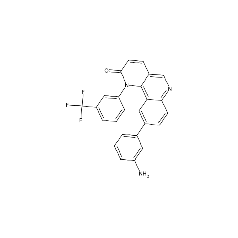 Nc1cccc(-c2ccc3ncc4ccc(=O)n(-c5cccc(C(F)(F)F)c5)c4c3c2)c1